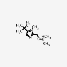 Cn1c(C(C)(C)C)cnc1CO[SiH](C)C